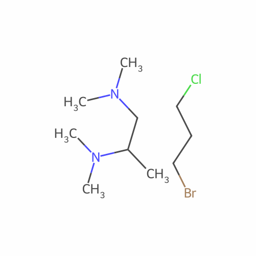 CC(CN(C)C)N(C)C.ClCCCBr